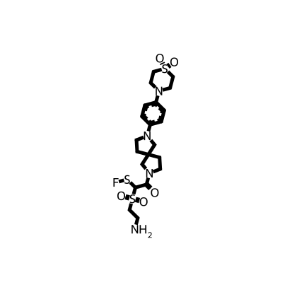 NCCS(=O)(=O)C(SF)C(=O)N1CCC2(CCN(c3ccc(N4CCS(=O)(=O)CC4)cc3)C2)C1